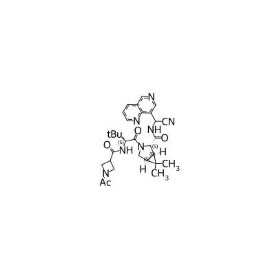 CC(=O)N1CC(C(=O)N[C@H](C(=O)N2C[C@H]3[C@@H]([C@H]2C(=O)NC(C#N)c2cncc4cccnc24)C3(C)C)C(C)(C)C)C1